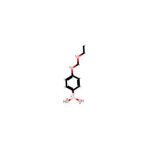 CCOCOc1ccc(B(O)O)cc1